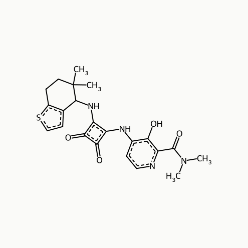 CN(C)C(=O)c1nccc(Nc2c(NC3c4ccsc4CCC3(C)C)c(=O)c2=O)c1O